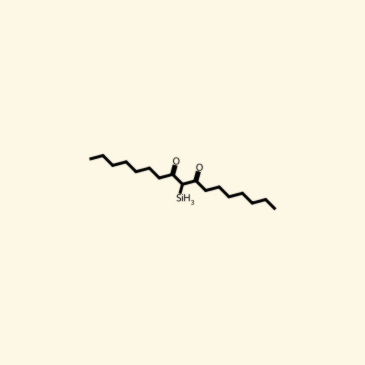 CCCCCCCC(=O)C([SiH3])C(=O)CCCCCCC